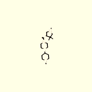 CN1CCC(N2CCN(C(=O)[C@H]3CN(C)CC3(C)C)CC2)CC1